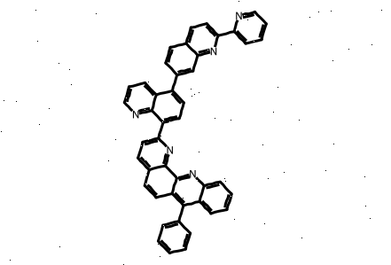 c1ccc(-c2c3ccccc3nc3c2ccc2ccc(-c4ccc(-c5ccc6ccc(-c7ccccn7)nc6c5)c5cccnc45)nc23)cc1